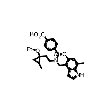 CCOC1(CCN(Cc2ccc(C(=O)O)cc2)Cc2c(OC)cc(C)c3[nH]ccc23)CC1C